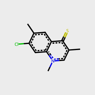 Cc1cc2c(=S)c(C)cn(C)c2cc1Cl